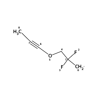 [CH2]C(F)(F)COC#CC